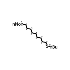 CCCCCCCCCCCCCCCCC[CH]SCCCC